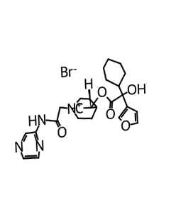 O=C(C[N+]12CCC(CC1)[C@@H](OC(=O)C(O)(c1ccoc1)C1CCCCC1)C2)Nc1cnccn1.[Br-]